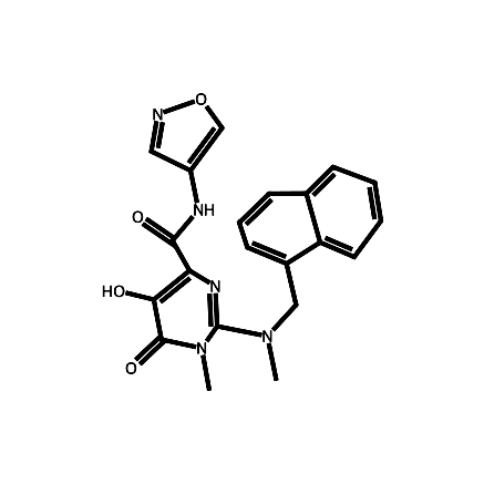 CN(Cc1cccc2ccccc12)c1nc(C(=O)Nc2cnoc2)c(O)c(=O)n1C